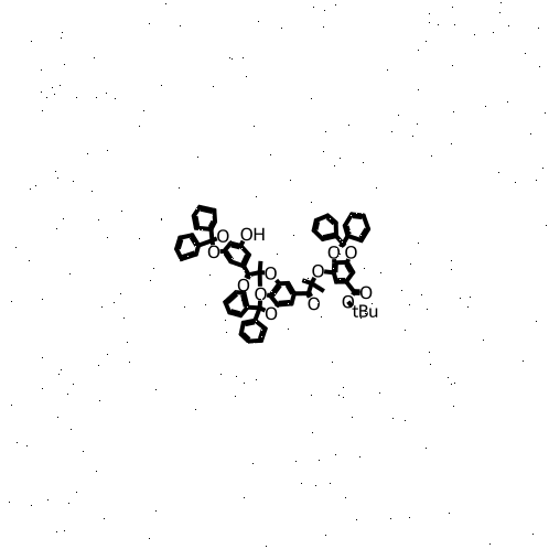 CC(C)(C)OC(=O)c1cc(OC(C)(C)C(=O)c2cc(OC(C)(C)C(=O)c3cc(O)c4c(c3)OC(c3ccccc3)(c3ccccc3)O4)c3c(c2)OC(c2ccccc2)(c2ccccc2)O3)c2c(c1)OC(c1ccccc1)(c1ccccc1)O2